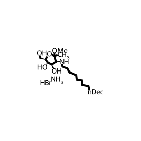 Br.CCCCCCCCCCCCCCCCCCN[C@H]1[C@@H](O)[C@H](O)[C@@H](CO)OC1(C)OC.N